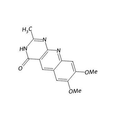 COc1cc2cc3c(=O)[nH]c(C)nc3nc2cc1OC